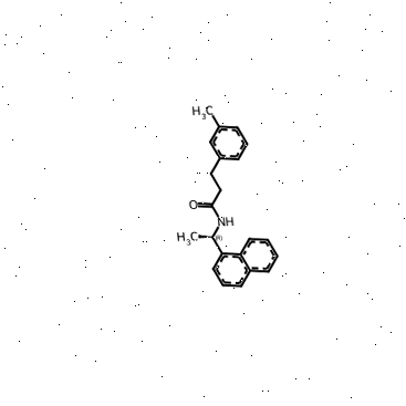 Cc1cccc(CCC(=O)N[C@H](C)c2cccc3ccccc23)c1